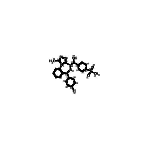 Cc1nnc2n1-c1ccccc1C(c1ccc(Cl)cc1)=NN2C(O)c1ccc(S(C)(=O)=O)cc1